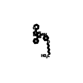 O=C(O)CCCCCCOc1ccc(Nc2nc(-c3ccccc3)c3ncn(C4CCCCO4)c3n2)cc1